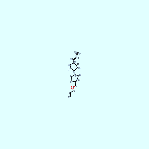 C=CCOCC1CCC([C@H]2CC[C@H](/C=C/CCC)CC2)CC1